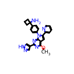 COc1nc(-c2cn[nH]c2)nc2c1cc(-c1ccccn1)n2-c1ccc(C2(N)CCC2)cc1